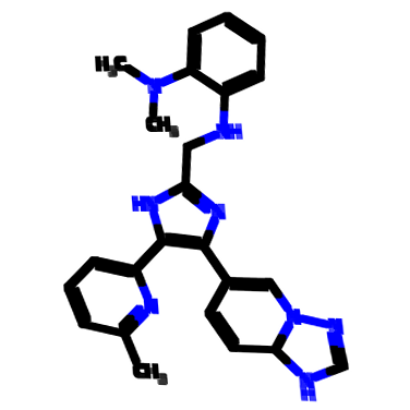 Cc1cccc(-c2[nH]c(CNc3ccccc3N(C)C)nc2C2=CN3N=CNC3C=C2)n1